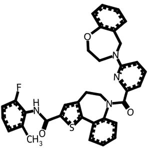 Cc1cccc(F)c1NC(=O)c1cc2c(s1)-c1ccccc1N(C(=O)c1cccc(N3CCOc4ccccc4C3)n1)CC2